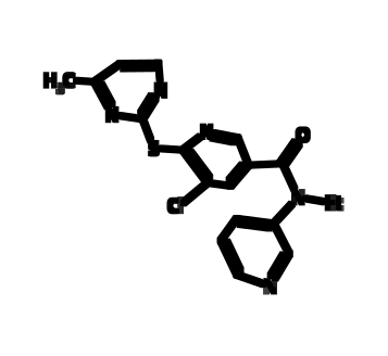 CCN(C(=O)c1cnc(Sc2nccc(C)n2)c(Cl)c1)c1cccnc1